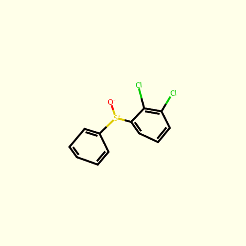 [O-][S+](c1ccccc1)c1cccc(Cl)c1Cl